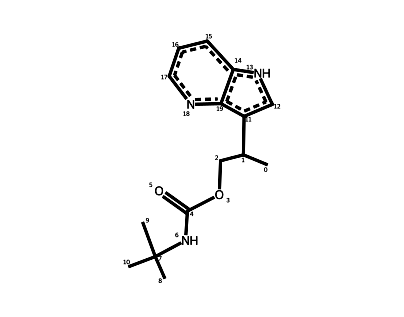 CC(COC(=O)NC(C)(C)C)c1c[nH]c2cccnc12